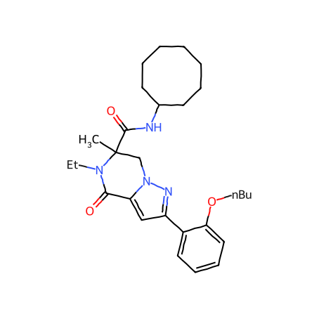 CCCCOc1ccccc1-c1cc2n(n1)CC(C)(C(=O)NC1CCCCCCC1)N(CC)C2=O